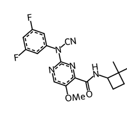 COc1cnc(N(C#N)c2cc(F)cc(F)c2)nc1C(=O)NC1CCC1(C)C